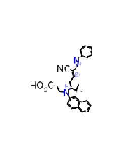 CC1(C)\C(=C/C=C(C#N)/C=N/c2ccccc2)N(CCC(=O)O)c2ccc3ccccc3c21